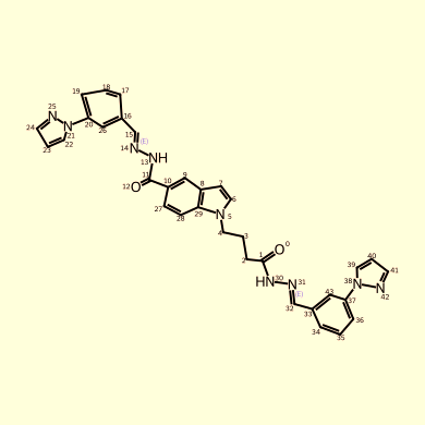 O=C(CCCn1ccc2cc(C(=O)N/N=C/c3cccc(-n4cccn4)c3)ccc21)N/N=C/c1cccc(-n2cccn2)c1